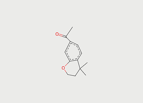 CC(=O)c1ccc2c(c1)OCCC2(C)C